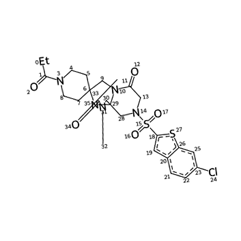 CCC(=O)N1CCC2(CC1)CN1C(=O)CN(S(=O)(=O)c3cc4ccc(Cl)cc4s3)CC13CN(C)C(=O)N23